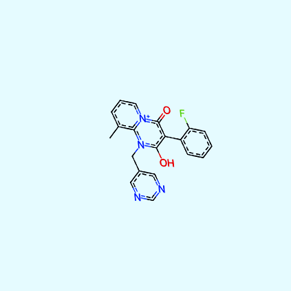 Cc1ccc[n+]2c(=O)c(-c3ccccc3F)c(O)n(Cc3cncnc3)c12